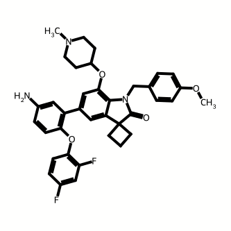 COc1ccc(CN2C(=O)C3(CCC3)c3cc(-c4cc(N)ccc4Oc4ccc(F)cc4F)cc(OC4CCN(C)CC4)c32)cc1